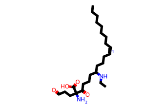 CCCCCCCC/C=C\CCCC(CCCC(=O)C(N)(CCC=O)C(=O)O)NCC